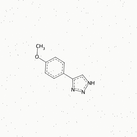 COc1ccc(-c2c[nH]nn2)cc1